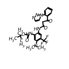 CN(C)c1cc(NC(=O)OC(C)(C)C)c(NC(=O)CC(=O)c2ccccc2-n2ccnn2)cc1C(F)(F)F